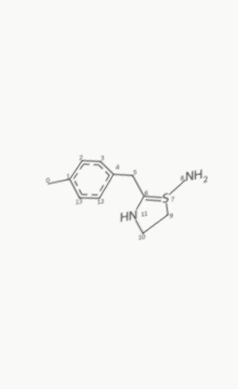 Cc1ccc(CC2=S(N)CCN2)cc1